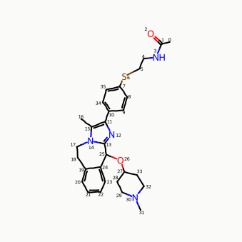 CC(=O)NCCSc1ccc(-c2nc3n(c2C)CCc2ccccc2C3OC2CCN(C)CC2)cc1